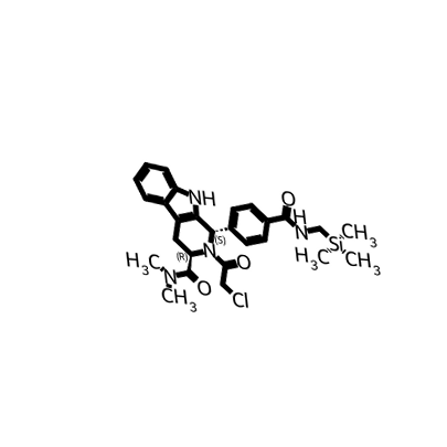 CN(C)C(=O)[C@H]1Cc2c([nH]c3ccccc23)[C@H](c2ccc(C(=O)NC[Si](C)(C)C)cc2)N1C(=O)CCl